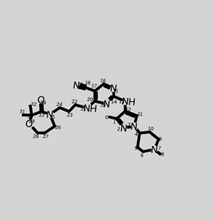 Cc1nn(C2CCN(C)CC2)cc1Nc1ncc(C#N)c(NCCCN2CCCOC(C)(C)C2=O)n1